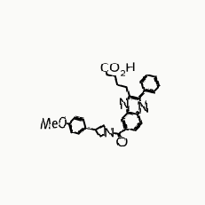 COc1ccc(C2CN(C(=O)c3ccc4nc(-c5ccccc5)c(CCCCC(=O)O)nc4c3)C2)cc1